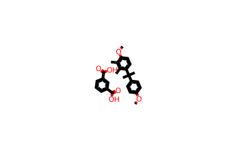 COc1ccc(C(C)(C)c2ccc(OC)c(C)c2C)cc1.O=C(O)c1cccc(C(=O)O)c1